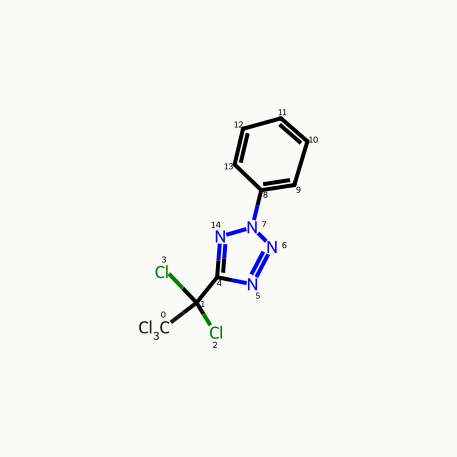 ClC(Cl)(Cl)C(Cl)(Cl)c1nnn(-c2ccccc2)n1